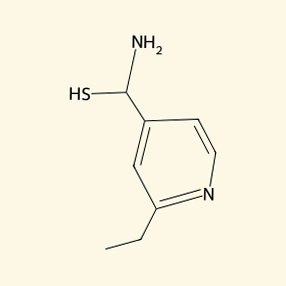 CCc1cc(C(N)S)ccn1